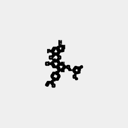 C=CC(=O)N1CCN(c2nc(OC[C@@H]3CN(C)C[C@H]3OC)nc3c(Oc4c(Cl)c(F)cc5[nH]ncc45)nc(Cl)cc23)CC1